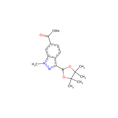 COC(=O)c1ccc2c(B3OC(C)(C)C(C)(C)O3)nn(C)c2c1